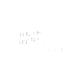 CC(CCSCC(=O)O)NC(=N)N